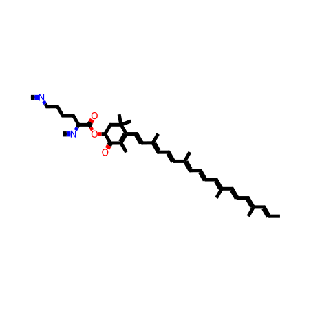 C=NCCCCC(N=C)C(=O)OC1CC(C)(C)C(/C=C/C(C)=C/C=C/C(C)=C/C=C/C=C(C)/C=C/C=C(C)/C=C/C)=C(C)C1=O